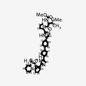 COC(=O)N[C@H](C(=O)N1CCCC1c1ncc(-c2ccc(-c3ccc(-c4cnc(C5C6CCC(C6)[C@@H]5C(=O)N(C)c5ccccn5)[nH]4)cc3)cc2)[nH]1)[C@@H](C)OC